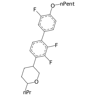 CCCCCOc1ccc(-c2ccc(C3CCC(CCC)OC3)c(F)c2F)cc1F